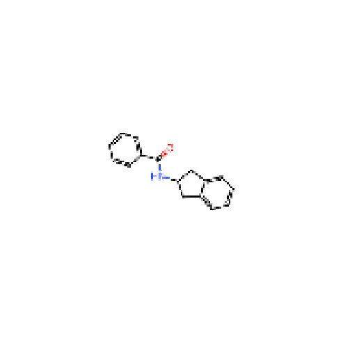 O=C(NC1Cc2ccccc2C1)c1ccccc1